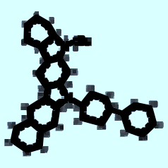 CC(C)(C)n1c2ccccc2c2cc3c4cc5ccccc5cc4n(-c4ccc(-c5ccccc5)cc4)c3cc21